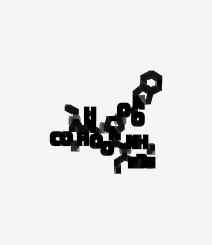 C=CC(CCCC)[C@H](N)C(=O)N1C[C@H](OC(=O)N2Cc3ccccc3C2)C[C@H]1C(=O)N[C@]1(C(=O)O)C[C@H]1C=C